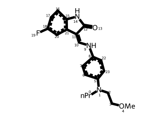 CCCN(CCOC)c1ccc(NC=C2C(=O)Nc3ccc(F)cc32)cc1